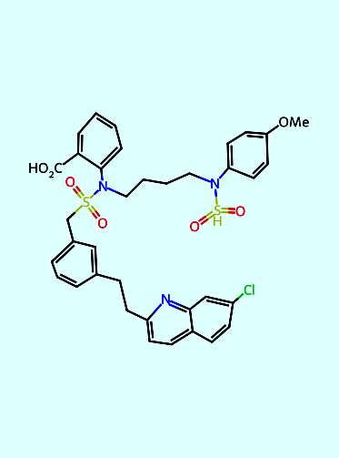 COc1ccc(N(CCCCN(c2ccccc2C(=O)O)S(=O)(=O)Cc2cccc(CCc3ccc4ccc(Cl)cc4n3)c2)[SH](=O)=O)cc1